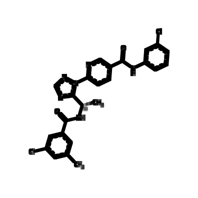 C[C@H](NC(=O)c1cc(Cl)cc(C(F)(F)F)c1)c1ncnn1-c1ccc(C(=O)Nc2cccc(Cl)c2)cn1